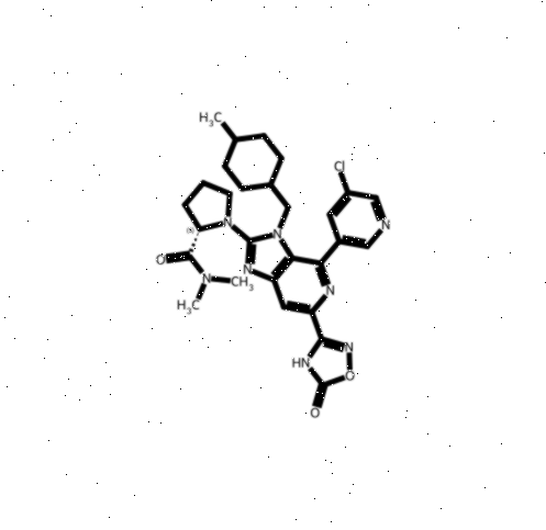 CC1CCC(Cn2c(N3CCC[C@H]3C(=O)N(C)C)nc3cc(-c4noc(=O)[nH]4)nc(-c4cncc(Cl)c4)c32)CC1